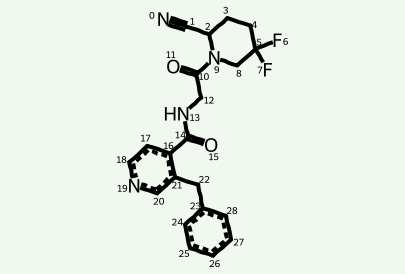 N#CC1CCC(F)(F)CN1C(=O)CNC(=O)c1ccncc1Cc1ccccc1